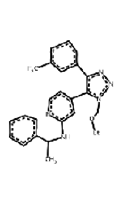 CCOCn1nnc(-c2cccc(C(F)(F)F)c2)c1-c1ccnc(NC(C)c2ccccc2)c1